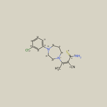 CC(=C(C#N)C(N)=S)N1CCCN(c2cccc(Cl)c2)CC1